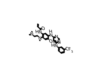 C=CC(=O)Nc1cc(Nc2cc(Nc3cccc(C(F)(F)F)c3)ncn2)c(OC)cc1N(C)CCN(C)C